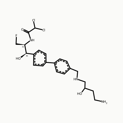 NCCC(O)CNCc1ccc(-c2ccc([C@@H](O)[C@@H](CF)NC(=O)C(Cl)Cl)cc2)cc1